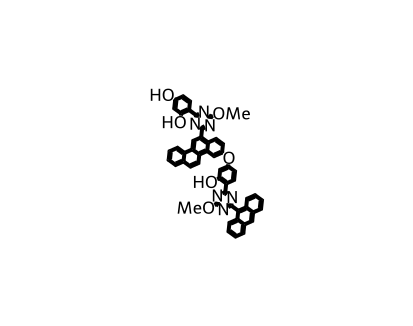 COc1nc(-c2ccc(Oc3ccc4c(-c5nc(OC)nc(-c6ccc(O)cc6O)n5)cc5c6ccccc6ccc5c4c3)cc2O)nc(-c2c3ccccc3cc3ccccc23)n1